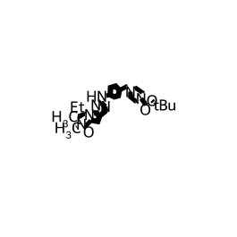 CCC1C(C)N(C)C(=O)c2cc3cnc(Nc4ccc(CN5CCN(C(=O)OC(C)(C)C)CC5)cc4)nc3n21